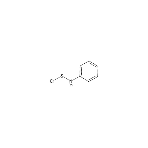 ClSNc1ccccc1